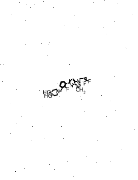 CN1SN(CC2CC2(F)F)c2ccc(-c3cccc(CN4CCS(O)(O)CC4)c3F)nc21